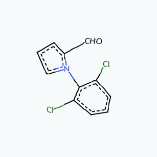 O=Cc1cccn1-c1c(Cl)cccc1Cl